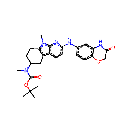 CN(C(=O)OC(C)(C)C)C1CCc2c(c3ccc(Nc4ccc5c(c4)NC(=O)CO5)nc3n2C)C1